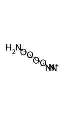 [N-]=[N+]=NCCOCCOCCOCCOCCN